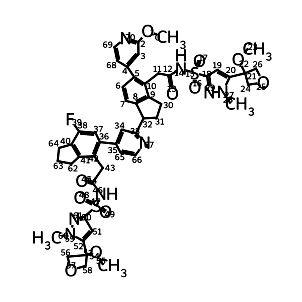 COc1cc(-c2ccc3c(c2CC(=O)NS(=O)(=O)c2cc(C4(OC)COC4)n(C)n2)CCC3c2cc(-c3cc(F)c4c(c3CC(=O)NS(=O)(=O)c3cc(C5(OC)COC5)n(C)n3)CCC4)ccn2)ccn1